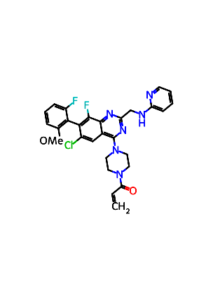 C=CC(=O)N1CCN(c2nc(CNc3ccccn3)nc3c(F)c(-c4c(F)cccc4OC)c(Cl)cc23)CC1